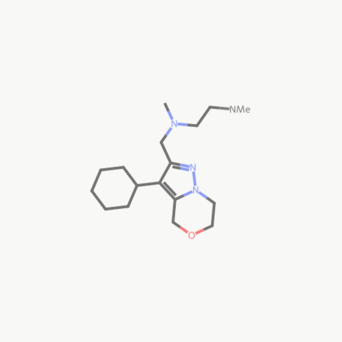 CNCCN(C)Cc1nn2c(c1C1CCCCC1)COCC2